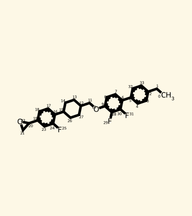 CCc1ccc(-c2ccc(OCC3CCC(c4ccc(C5CO5)cc4F)CC3)c(F)c2F)cc1